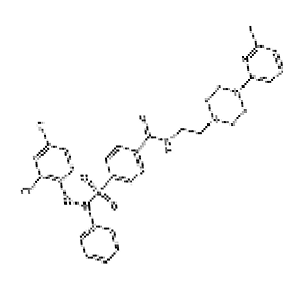 Cc1cccc(N2CCN(CCNC(=O)c3ccc(S(=O)(=O)N(Oc4ccc(Cl)cc4Cl)c4ccccc4)cc3)CC2)n1